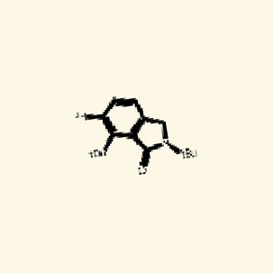 [2H]c1ccc2c(c1C(C)(C)C)C(=O)N(C(C)(C)C)C2